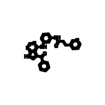 O=C(CCc1cccnc1)Nc1cccc(Nc2ncnc3[nH]cc(C(=O)c4ccccc4)c23)c1